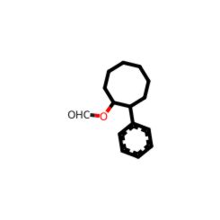 O=COC1CCCCCCC1c1ccccc1